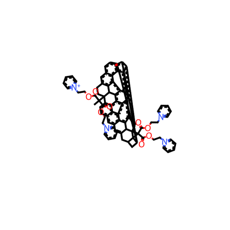 CC(C(=O)OCC[n+]1ccccc1)(C(=O)OCC[n+]1ccccc1)C12CCc3cc4cc5c6c7c8c9c%10c%11c%12c(cc%13ccc1c1c%14c%15c%16c(c3C%152)c4c6c8c%16c%10c%14c%12c%131)C=C1CC2CC7(C=C5)C23C(C(=O)OCC[n+]2ccccc2)(C(=O)OCC[n+]2ccccc2)C93C1%11